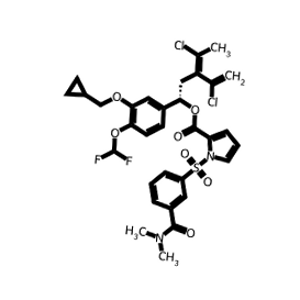 C=C(Cl)/C(C[C@H](OC(=O)c1cccn1S(=O)(=O)c1cccc(C(=O)N(C)C)c1)c1ccc(OC(F)F)c(OCC2CC2)c1)=C(\C)Cl